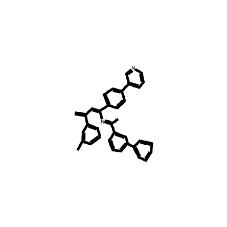 C=C(/C=C(\N=C(/C)c1cccc(-c2ccccc2)c1)c1ccc(-c2cccnc2)cc1)c1cccc(C)c1